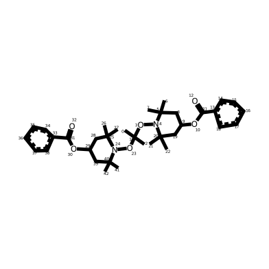 CC(C)(ON1C(C)(C)CC(OC(=O)c2ccccc2)CC1(C)C)ON1C(C)(C)CC(OC(=O)c2ccccc2)CC1(C)C